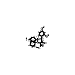 COc1ccc([C@@]23Oc4cc(OC)cc(OC)c4C2c2[nH]nc(SC)c2[C@H]3c2ccccc2)cc1